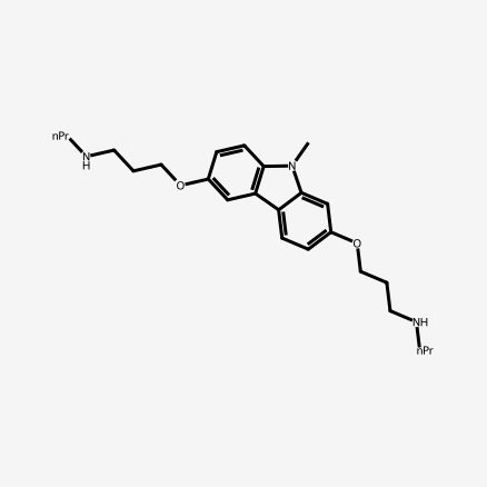 CCCNCCCOc1ccc2c(c1)c1ccc(OCCCNCCC)cc1n2C